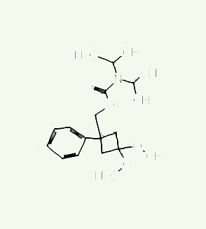 COC1(OC)CC(COC(=O)N(C(C)C)C(C)C)(c2ccccc2)C1